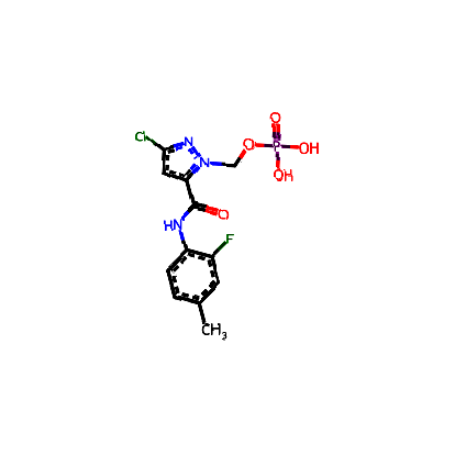 Cc1ccc(NC(=O)c2cc(Cl)nn2COP(=O)(O)O)c(F)c1